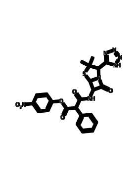 CC1(C)SC2C(NC(=O)C(C(=O)Oc3ccc([N+](=O)[O-])cc3)c3ccccc3)C(=O)N2C1c1nnn[nH]1